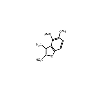 [CH2]c1c(C(=O)O)oc2ccc(OC)c(OC)c12